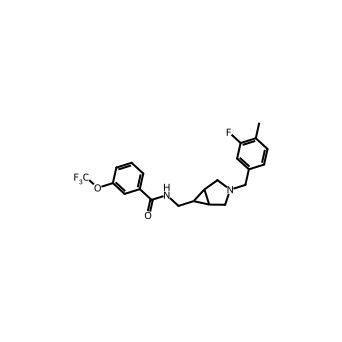 Cc1ccc(CN2CC3C(CNC(=O)c4cccc(OC(F)(F)F)c4)C3C2)cc1F